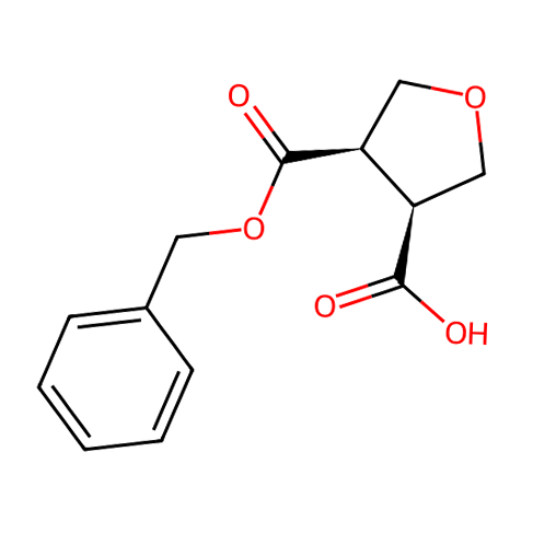 O=C(OCc1ccccc1)[C@H]1COC[C@H]1C(=O)O